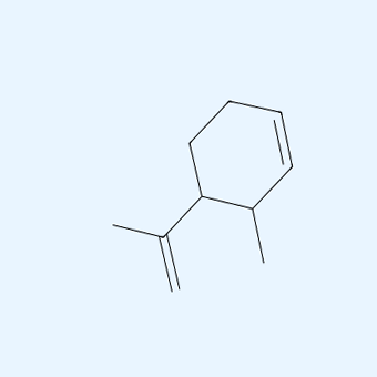 C=C(C)C1CCC=CC1C